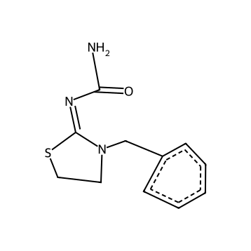 NC(=O)/N=C1/SCCN1Cc1ccccc1